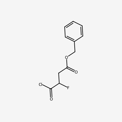 O=C(CC(F)C(=O)Cl)OCc1ccccc1